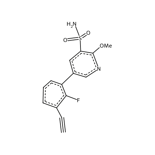 C#Cc1cccc(-c2cnc(OC)c(S(N)(=O)=O)c2)c1F